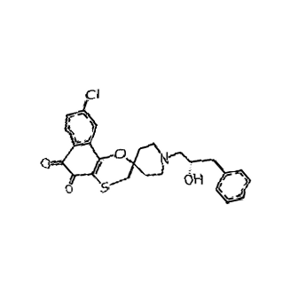 O=C1C(=O)c2ccc(Cl)cc2C2=C1SCC1(CCN(C[C@@H](O)Cc3ccccc3)CC1)O2